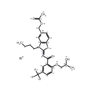 CCCCn1/c(=N/C(=O)c2cc(C(F)(F)F)ccc2OC[C@H](C)O)sc2cc[n+](COC(C)=O)cc21.[Br-]